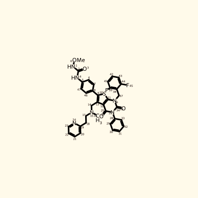 CONC(=O)Nc1ccc(-c2sc3c(c2CN(C)CCc2ccccn2)c(=O)n(-c2ccccc2)c(=O)n3Cc2c(F)cccc2F)cc1